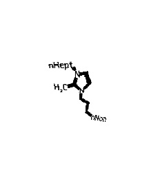 CCCCCCCCCCCCN1C=CN(CCCCCCC)C1C